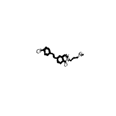 CN(C)CCCn1ncc2cc(C=Cc3ccc(Cl)cc3)ccc2c1=O